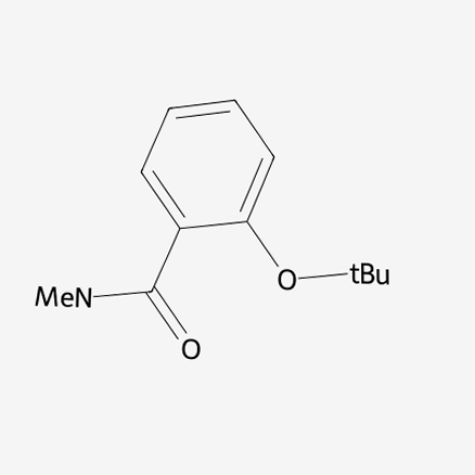 CNC(=O)c1ccccc1OC(C)(C)C